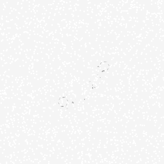 OC(CCN1CCN(c2ccc(F)cc2)CC1)COc1ccc(F)cc1